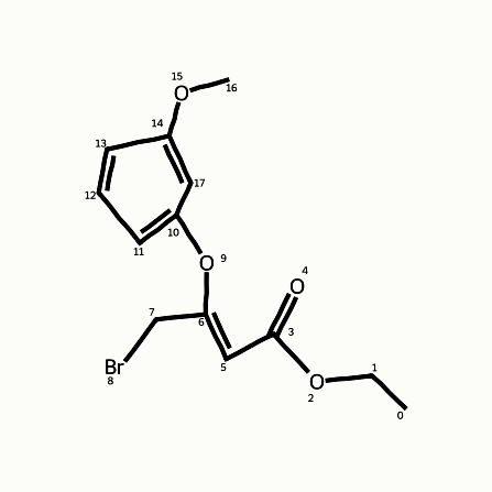 CCOC(=O)/C=C(/CBr)Oc1cccc(OC)c1